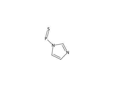 S=Pn1ccnc1